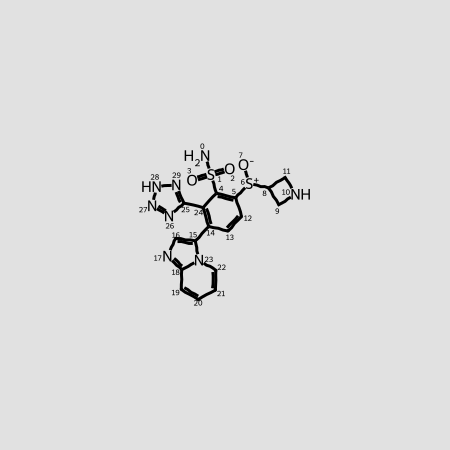 NS(=O)(=O)c1c([S+]([O-])C2CNC2)ccc(-c2cnc3ccccn23)c1-c1nn[nH]n1